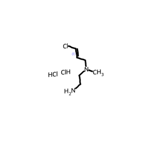 CN(C/C=C/Cl)CCN.Cl.Cl